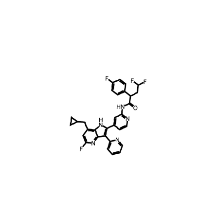 O=C(Nc1cc(-c2[nH]c3c(CC4CC4)cc(F)nc3c2-c2ccccn2)ccn1)C(CC(F)F)c1ccc(F)cc1